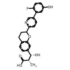 C[C@H](C(=O)O)[C@@H](O)c1ccc2c(c1)OC(c1ccc(-c3cc(O)ccc3F)cn1)CC2